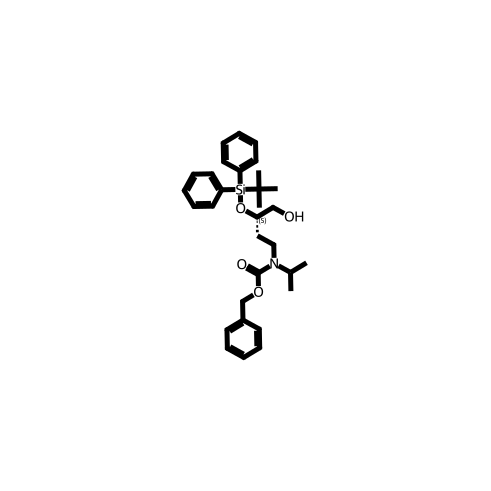 CC(C)N(CC[C@@H](CO)O[Si](c1ccccc1)(c1ccccc1)C(C)(C)C)C(=O)OCc1ccccc1